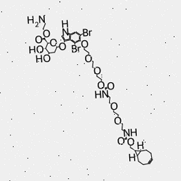 NCCOC(=O)[C@H]1O[C@@H](Oc2c[nH]c3cc(Br)c(OCCOCCOCCOC(=O)NCCOCCOCCNC(=O)OC[C@@H]4[C@@H]5CCC#CCC[C@@H]54)c(Br)c23)C[C@@H](O)[C@@H]1O